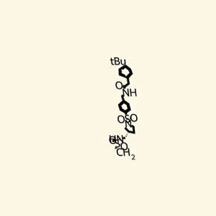 C=CS(=O)(=O)NC[C@H]1CCN(S(=O)(=O)c2ccc(CNC(=O)Cc3ccc(C(C)(C)C)cc3)cc2)C1